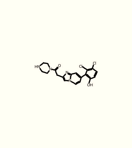 O=C(Cc1cn2ccc(-c3c(O)ccc(Cl)c3Cl)cc2n1)N1CCNCC1